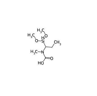 CCC(N(C)C(=O)O)[SiH](OC)OC